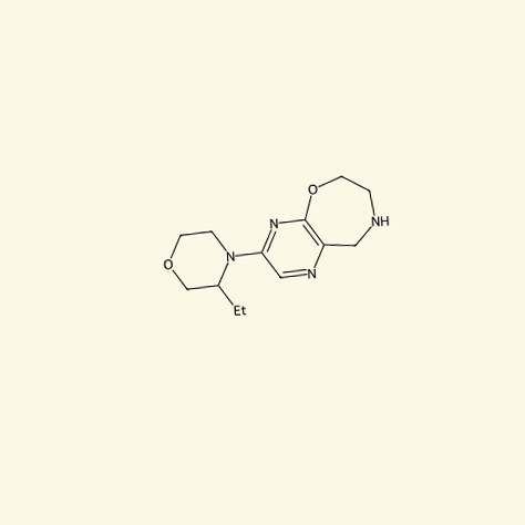 CCC1COCCN1c1cnc2c(n1)OCCNC2